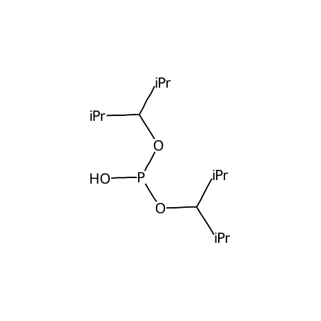 CC(C)C(OP(O)OC(C(C)C)C(C)C)C(C)C